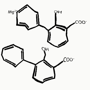 O=C([O-])c1cccc(-c2ccccc2)c1O.O=C([O-])c1cccc(-c2ccccc2)c1O.[Mg+2]